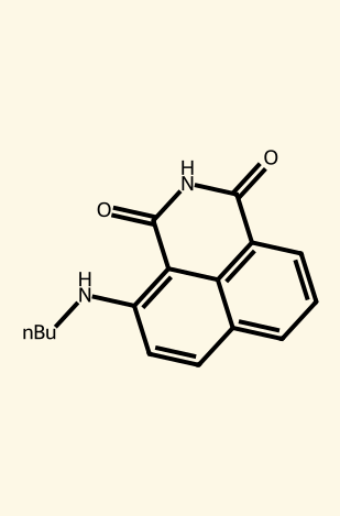 CCCCNc1ccc2cccc3c2c1C(=O)NC3=O